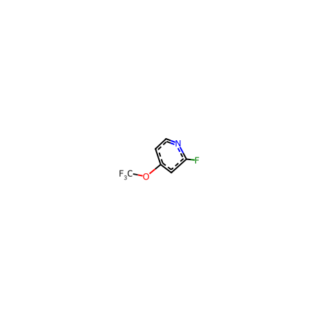 Fc1cc(OC(F)(F)F)ccn1